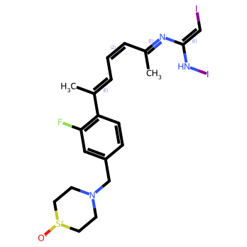 C\C(=C/C=C\C(C)=N\C(=C/I)NI)c1ccc(CN2CC[S+]([O-])CC2)cc1F